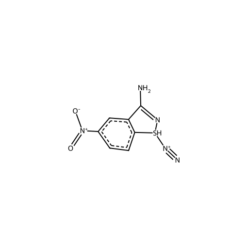 N#[N+][SH]1N=C(N)c2cc([N+](=O)[O-])ccc21